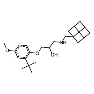 COc1ccc(OCC(O)CNCC23CC4CC5CC(C2)C543)c(C(C)(C)C)c1